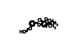 CC(C)(C)n1ncc(OCc2cccc(OCCO)c2)c(Cl)c1=O